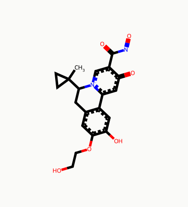 CC1(C2Cc3cc(OCCO)c(O)cc3-c3cc(=O)c(C(=O)N=O)cn32)CC1